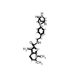 CC1C=Cc2c(sc(C(=O)NCCc3ccc(N4C[C@H]5C[C@@H]4CN5)cc3)c2N)N1C